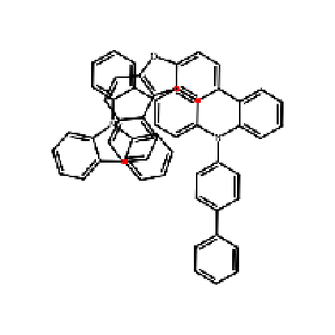 c1ccc(-c2ccc(N(c3ccc(-c4ccccc4-n4c5ccccc5c5ccccc54)cc3)c3ccccc3-c3ccc4oc5ccc6ccccc6c5c4c3)cc2)cc1